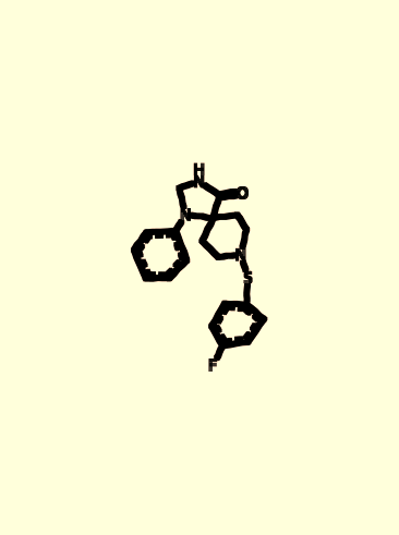 O=C1NCN(c2ccccc2)C12CCN(Sc1ccc(F)cc1)CC2